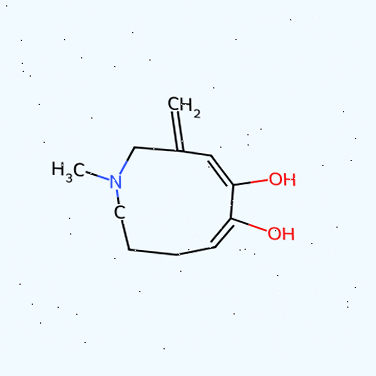 C=C1/C=C(O)\C(O)=C/CCCN(C)C1